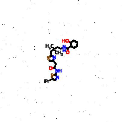 CC(C)c1cnc(NC(=O)Cc2csc(CC(C)(C)CCNC(=O)c3ccccc3O)n2)s1